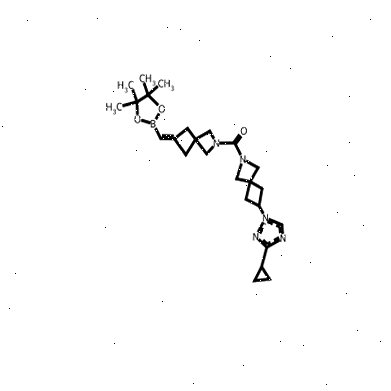 CC1(C)OB(C=C2CC3(C2)CN(C(=O)N2CC4(CC(n5cnc(C6CC6)n5)C4)C2)C3)OC1(C)C